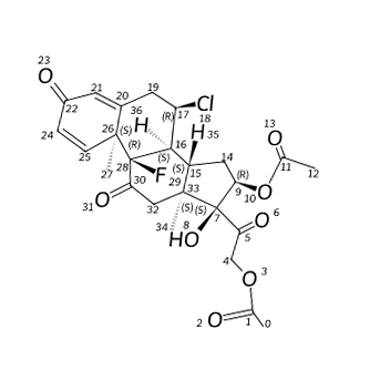 CC(=O)OCC(=O)[C@@]1(O)[C@H](OC(C)=O)C[C@H]2[C@@H]3[C@H](Cl)CC4=CC(=O)C=C[C@]4(C)[C@@]3(F)C(=O)C[C@@]21C